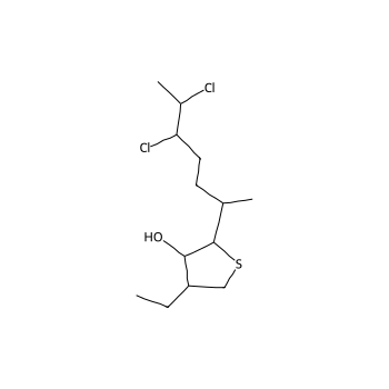 CCC1CSC(C(C)CCC(Cl)C(C)Cl)C1O